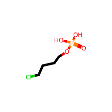 O=P(O)(O)OCCCCCl